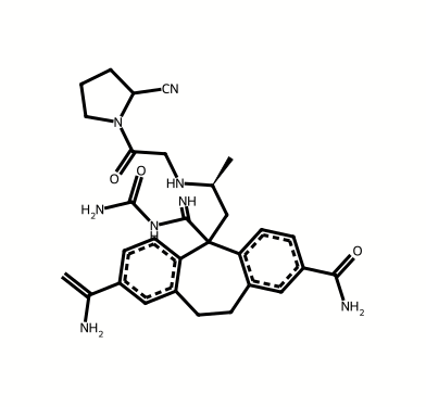 C=C(N)c1ccc2c(c1)CCc1cc(C(N)=O)ccc1C2(C[C@H](C)NCC(=O)N1CCCC1C#N)C(=N)NC(N)=O